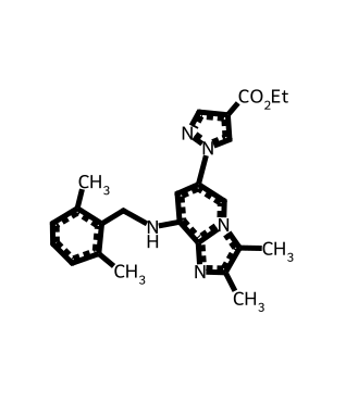 CCOC(=O)c1cnn(-c2cc(NCc3c(C)cccc3C)c3nc(C)c(C)n3c2)c1